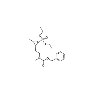 CCOP(=O)(OCC)N1C(C)C1CCN(C)C(=O)OCc1ccccc1